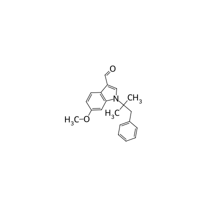 COc1ccc2c(C=O)cn(C(C)(C)Cc3ccccc3)c2c1